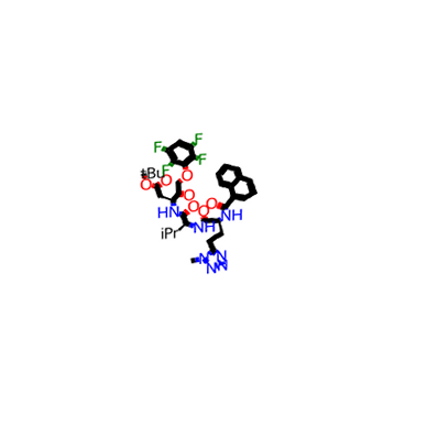 CC(C)[C@H](NC(=O)[C@H](CCc1nnnn1C)NC(=O)c1cccc2ccccc12)C(=O)N[C@@H](CC(=O)OC(C)(C)C)C(=O)COc1c(F)c(F)cc(F)c1F